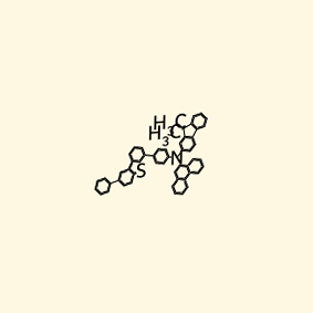 CC1(C)c2ccccc2-c2ccc(N(c3ccc(-c4cccc5c4sc4ccc(-c6ccccc6)cc45)cc3)c3cc4ccccc4c4ccccc34)cc21